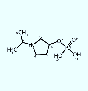 CC(C)N1CCC(OP(=O)(O)O)C1